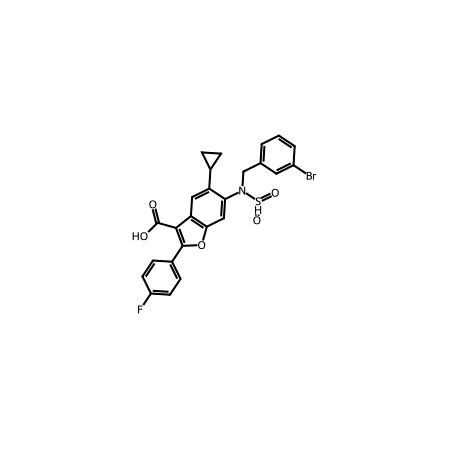 O=C(O)c1c(-c2ccc(F)cc2)oc2cc(N(Cc3cccc(Br)c3)[SH](=O)=O)c(C3CC3)cc12